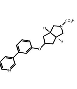 O=C(O)N1C[C@H]2CC(Oc3cccc(-c4cncnc4)c3)C[C@@H]2C1